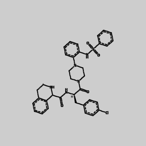 O=C(N[C@H](Cc1ccc(Cl)cc1)C(=O)N1CCN(c2ccccc2NS(=O)(=O)c2ccccc2)CC1)C1N[CH]Cc2ccccc21